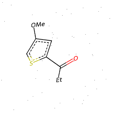 CCC(=O)c1cc(OC)cs1